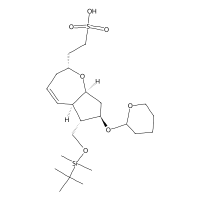 CC(C)(C)[Si](C)(C)OC[C@@H]1[C@H]2C=CC[C@H](CCS(=O)(=O)O)O[C@H]2C[C@H]1OC1CCCCO1